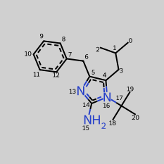 CC(C)Cc1c(Cc2ccccc2)nc(N)n1C(C)(C)C